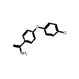 C=C(N)c1ccc(Oc2ccc(Cl)cc2)cc1